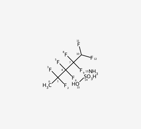 CC(F)(F)C(F)(F)C(F)(F)C(F)F.N.O=S(=O)(O)O